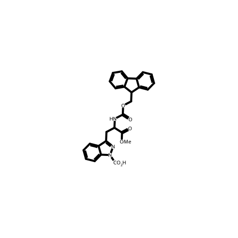 COC(=O)C(Cc1nn(C(=O)O)c2ccccc12)NC(=O)OCC1c2ccccc2-c2ccccc21